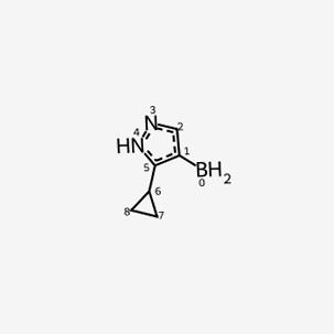 Bc1cn[nH]c1C1CC1